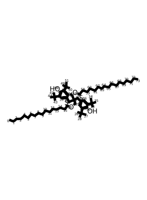 CCCCCCCCCCCCCCCCC(=S)OCC(Cc1cc(C(C)(C)C)c(O)c(C(C)(C)C)c1)(Cc1cc(C(C)(C)C)c(O)c(C(C)(C)C)c1)C(C)OC(=S)CCCCCCCCCCCCCCCC